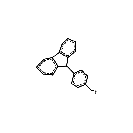 CCc1ccc(C2c3ccccc3-c3ccccc32)cc1